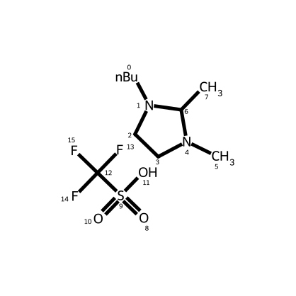 CCCCN1CCN(C)C1C.O=S(=O)(O)C(F)(F)F